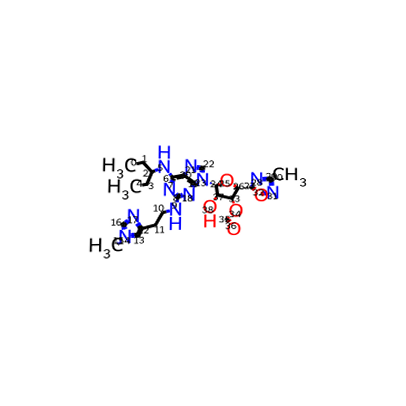 CCC(CC)Nc1nc(NCCc2cn(C)cn2)nc2c1ncn2[C@@H]1O[C@H](c2nc(C)no2)[C@@H](OC=O)[C@H]1O